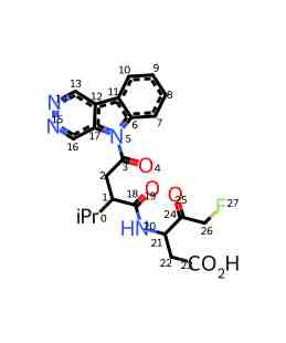 CC(C)C(CC(=O)n1c2ccccc2c2cnncc21)C(=O)NC(CC(=O)O)C(=O)CF